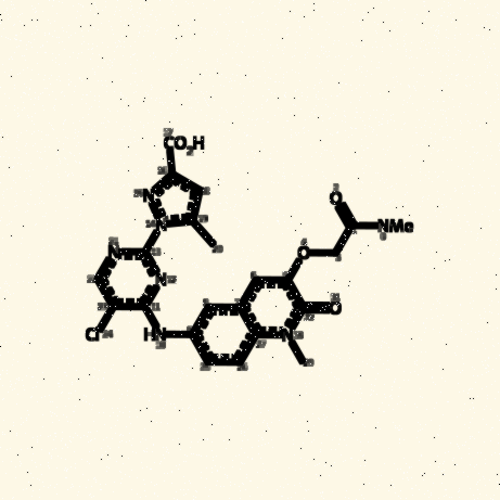 CNC(=O)COc1cc2cc(Nc3nc(-n4nc(C(=O)O)cc4C)ncc3Cl)ccc2n(C)c1=O